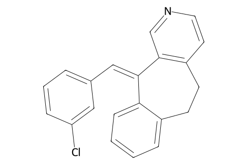 Clc1cccc(/C=C2\c3ccccc3CCc3ccncc32)c1